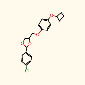 Clc1ccc(C2OCC(COc3ccc(OC4CCC4)cc3)O2)cc1